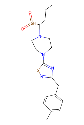 CCCC(N1CCN(c2nc(Cc3ccc(C)cc3)ns2)CC1)[SH](=O)=O